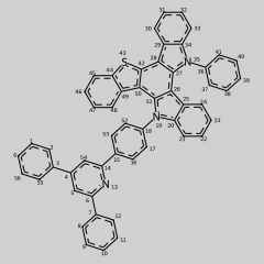 c1ccc(-c2cc(-c3ccccc3)nc(-c3ccc(-n4c5ccccc5c5c6c(c7ccccc7n6-c6ccccc6)c6sc7ccccc7c6c54)cc3)c2)cc1